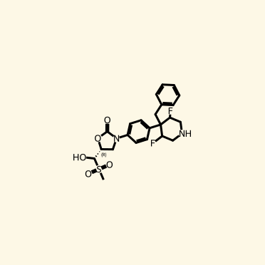 CS(=O)(=O)C(O)[C@H]1CN(c2ccc(C3(Cc4ccccc4)C(F)CNCC3F)cc2)C(=O)O1